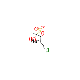 CC(O)(CCCCCl)S(=O)(=O)[O-].[Na+]